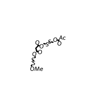 COCSSCOC(=O)CC(=O)OCSSCOC(=O)C(C)=O